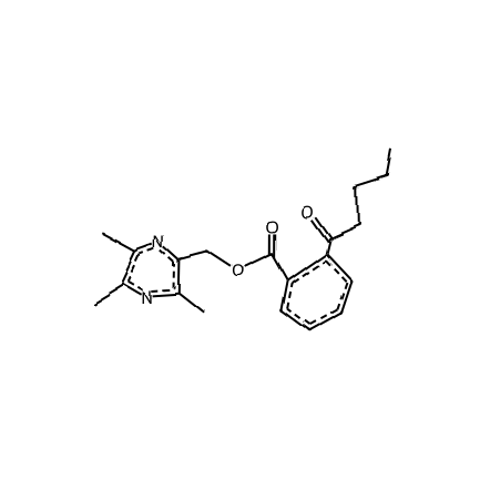 CCCCC(=O)c1ccccc1C(=O)OCc1nc(C)c(C)nc1C